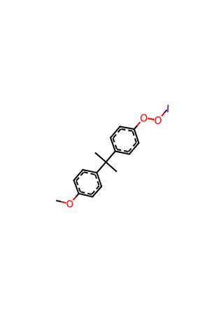 COc1ccc(C(C)(C)c2ccc(OOI)cc2)cc1